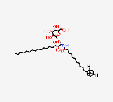 CCCCCCCCCCCCCC[C@@H](O)[C@@H](O)[C@H](COC1OC(CO)C(O)C(O)C1O)NC(=O)CCCCCCCCCCC1CC[C@H]2C[C@@H]1C2(C)C